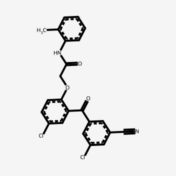 Cc1c[c]ccc1NC(=O)COc1ccc(Cl)cc1C(=O)c1cc(Cl)cc(C#N)c1